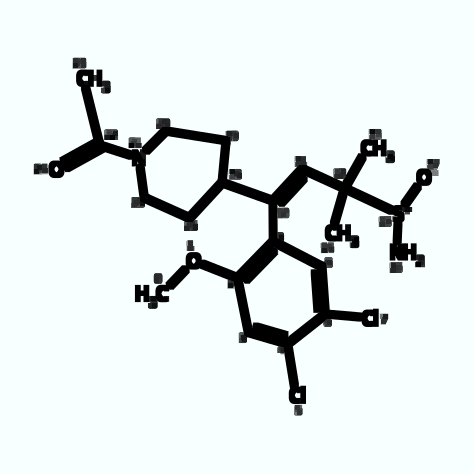 COc1cc(Cl)c(Cl)cc1/C(=C\C(C)(C)[S+](N)[O-])C1CCN(C(C)=O)CC1